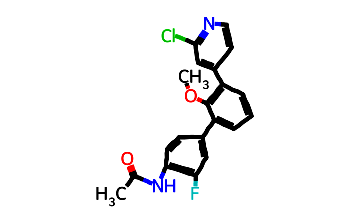 COc1c(-c2ccnc(Cl)c2)cccc1-c1ccc(NC(C)=O)c(F)c1